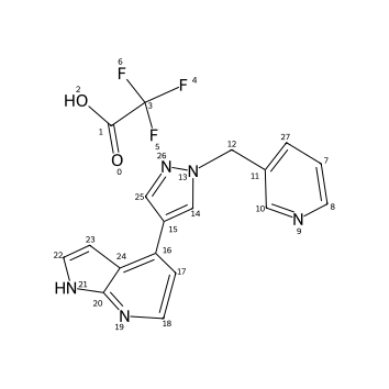 O=C(O)C(F)(F)F.c1cncc(Cn2cc(-c3ccnc4[nH]ccc34)cn2)c1